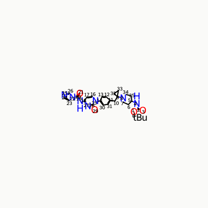 CC(C)(C)OC(=O)NC1CCN(C2(Cc3ccc(-n4ccc(NC(=O)n5ccnc5)nc4=O)cc3)CC2)CC1